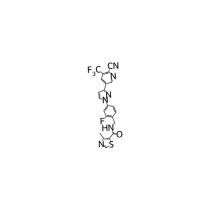 Cc1ncsc1C(=O)NCc1ccc(-n2ccc(-c3cnc(C#N)c(C(F)(F)F)c3)n2)cc1F